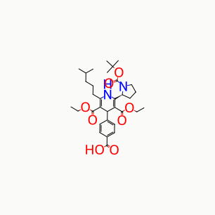 CCOC(=O)C1=C(CCCC(C)C)NC([C@@H]2CCCN2C(=O)OC(C)(C)C)=C(C(=O)OCC)C1c1ccc(C(=O)O)cc1